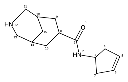 O=C(NC1CC=CC1)C1CC2CNCC(C2)C1